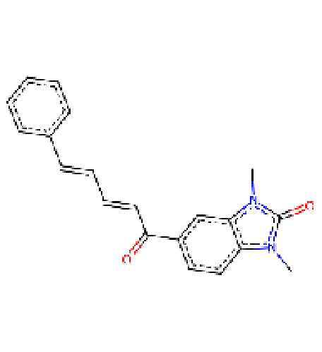 Cn1c(=O)n(C)c2cc(C(=O)/C=C/C=C/c3ccccc3)ccc21